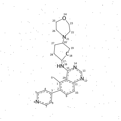 Cc1c(-c2ccncc2)ccc2ncnc(NC3CCC(N4CCOCC4)CC3)c12